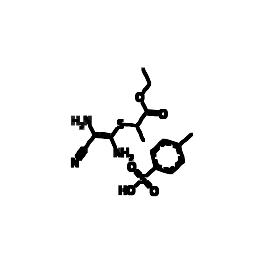 CCOC(=O)C(C)SC(N)=C(N)C#N.Cc1ccc(S(=O)(=O)O)cc1